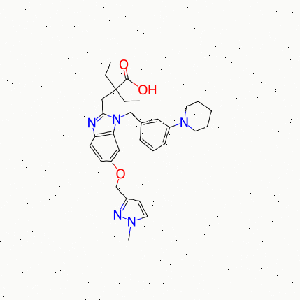 CCC(CC)(Cc1nc2ccc(OCc3ccn(C)n3)cc2n1Cc1cccc(N2CCCCC2)c1)C(=O)O